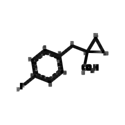 O=C(O)C1(Cc2ccc(F)cc2)CC1